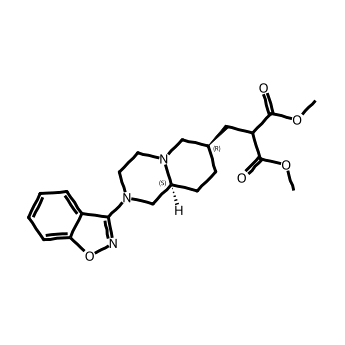 COC(=O)C(C[C@H]1CC[C@H]2CN(c3noc4ccccc34)CCN2C1)C(=O)OC